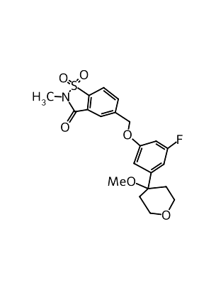 COC1(c2cc(F)cc(OCc3ccc4c(c3)C(=O)N(C)S4(=O)=O)c2)CCOCC1